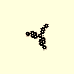 c1ccc(-c2ccc3cc4c(cc3c2)oc2c(-c3ccc5ccc6c(-c7ccccc7)ccc7ccc3c5c76)cc(-c3ccc5ccc6c(-c7ccccc7)ccc7ccc3c5c76)cc24)cc1